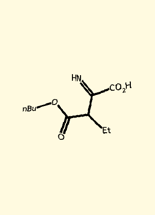 CCCCOC(=O)C(CC)C(=N)C(=O)O